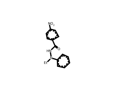 CCN(NC(=O)c1ccc([N+](=O)[O-])cc1)c1ccccc1